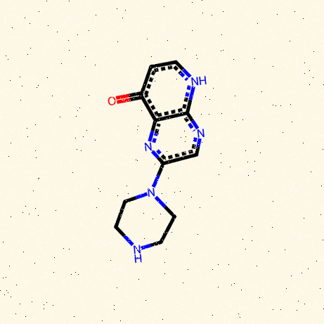 O=c1cc[nH]c2ncc(N3CCNCC3)nc12